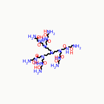 NCC(O)CNC(=O)CCN(CCCCN(CCCCN(CCC(=O)NCC(O)CN)CCC(=O)NCC(O)CN)CCCCN(CCC(=O)NCC(O)CN)CCC(=O)NCC(O)CN)CCC(=O)NCC(O)CN